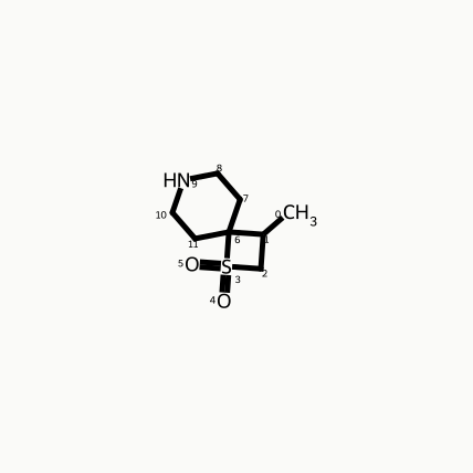 CC1CS(=O)(=O)C12CCNCC2